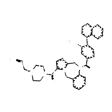 C=CCN1CCN(C(=O)c2ccc3n2Cc2ccccc2N(C(=O)c2ccc(-c4cccc5ccccc45)c(OC)c2)C3)CC1